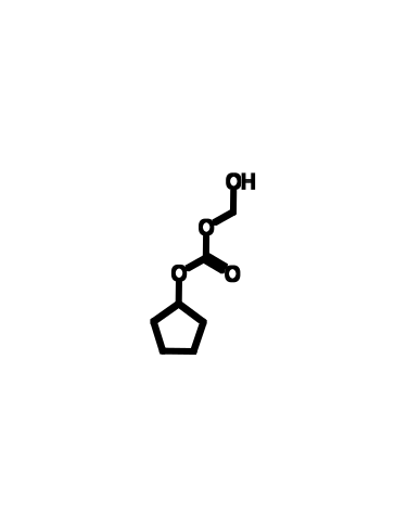 O=C(OCO)OC1CCCC1